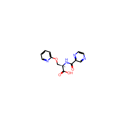 O=C(N[C@H](COc1ccccn1)C(=O)O)c1cnccn1